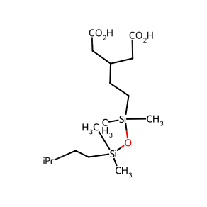 CC(C)CC[Si](C)(C)O[Si](C)(C)CCC(CC(=O)O)CC(=O)O